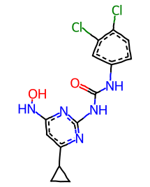 O=C(Nc1ccc(Cl)c(Cl)c1)Nc1nc(NO)cc(C2CC2)n1